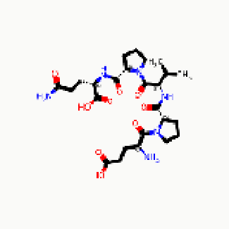 CC(C)[C@H](NC(=O)[C@@H]1CCCN1C(=O)[C@@H](N)CCC(=O)O)C(=O)N1CCC[C@H]1C(=O)N[C@@H](CCC(N)=O)C(=O)O